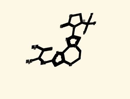 CC(Nc1cc2c(s1)-c1nc(N3C(=O)OC[C@H]3C(F)(F)F)cn1CCO2)C(N)=O